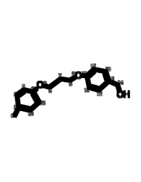 Cc1ccc(OCCCOc2ccc(CO)cc2)cc1